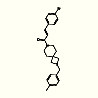 Cc1ccc(CN2CC3(CCN(C(=O)/C=C/c4ccc(Br)cc4)CC3)C2)cc1